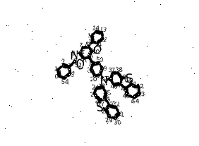 c1ccc(-c2nc3cc4c(oc5ccccc54)c(-c4ccc(N(c5ccc6sc7ccccc7c6c5)c5ccc6sc7ccccc7c6c5)cc4)c3o2)cc1